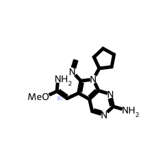 C=Nc1c(/C=C(\N)OC)c2cnc(N)nc2n1C1CCCC1